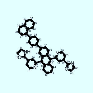 C1=COC(c2ccnc(-c3c4ccccc4c(-c4cc(-c5ncco5)ccn4)c4ccc(-c5ccc(-c6cccc7ccccc67)cc5)cc34)c2)N1